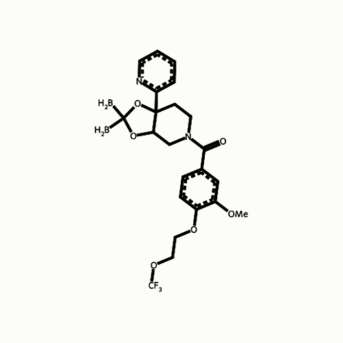 BC1(B)OC2CN(C(=O)c3ccc(OCCOC(F)(F)F)c(OC)c3)CCC2(c2ccccn2)O1